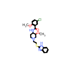 COc1ccc(Cl)cc1C(=O)NC1CCN(CCSc2nc3ccccc3[nH]2)CC1OC